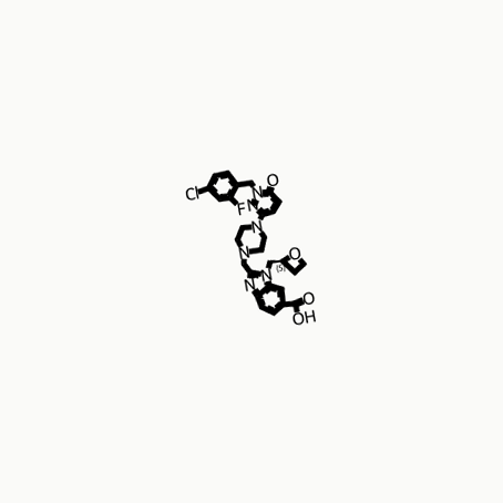 O=C(O)c1ccc2nc(CN3CCN(c4ccc(=O)n(Cc5ccc(Cl)cc5F)n4)CC3)n(C[C@@H]3CCO3)c2c1